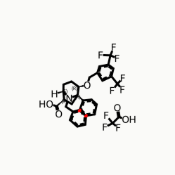 O=C(O)C(F)(F)F.O=C(O)[C@@H]1C[C@@]2(c3ccccc3)[C@H](OCc3cc(C(F)(F)F)cc(C(F)(F)F)c3)CC[C@@H]1N2Cc1ccccc1